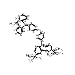 CC(C)(C)c1ccc2c(c1)c1cc(C(C)(C)C)ccc1n2-c1ccc(Sc2ccc(N3c4ccccc4C(C)(C)c4ccccc43)cc2)cc1